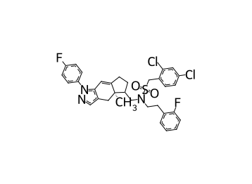 C[C@]12Cc3cnn(-c4ccc(F)cc4)c3C=C1CCC2CN(CCc1ccccc1F)S(=O)(=O)Cc1ccc(Cl)cc1Cl